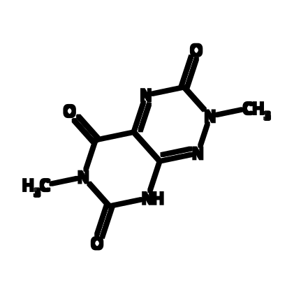 Cn1nc2[nH]c(=O)n(C)c(=O)c2nc1=O